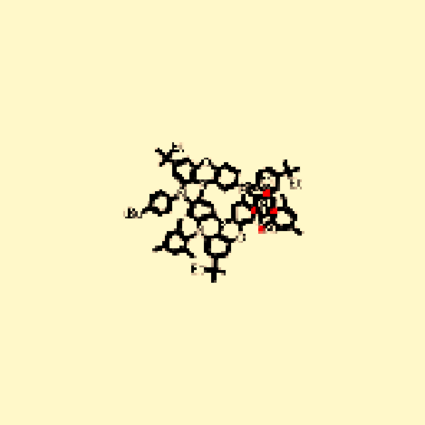 CCC(C)(C)c1cc2c3c(c1)N(c1ccc(C(C)(C)C)cc1)c1cc4c(cc1B3c1cc(C(C)(C)C)ccc1O2)B1c2cc3c(cc2Oc2cc(C(C)(C)CC)cc(c21)N4c1c(C)cc(C)cc1C)N(c1c(C)cc(C)cc1C)c1cc(C(C)(C)CC)cc2c1B3c1cc(C(C)(C)C)ccc1O2